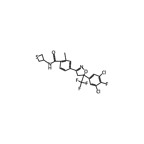 Cc1cc(C2=NOC(c3cc(Cl)c(F)c(Cl)c3)(C(F)(F)F)C2)ccc1C(=O)NC1CSC1